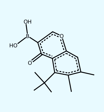 Cc1cc2occ(B(O)O)c(=O)c2c(C(C)(C)C)c1C